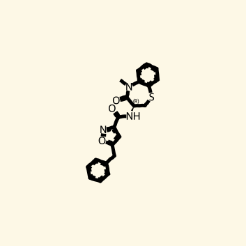 CN1C(=O)[C@@H](NC(=O)c2cc(Cc3ccccc3)on2)CSc2ccccc21